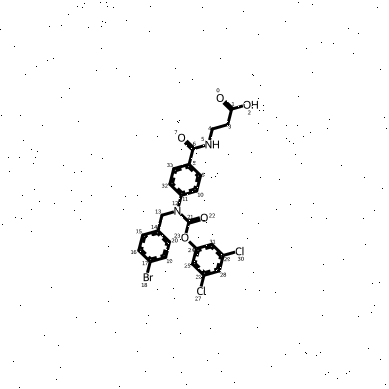 O=C(O)CCNC(=O)c1ccc(N(Cc2ccc(Br)cc2)C(=O)Oc2cc(Cl)cc(Cl)c2)cc1